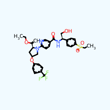 C=C(OCC)[C@@H]1CC(Oc2ccc(C(F)(F)F)cc2)CN1c1ccc(C(=O)N[C@@H](CO)c2ccc(S(=O)(=O)CC)cc2)cn1